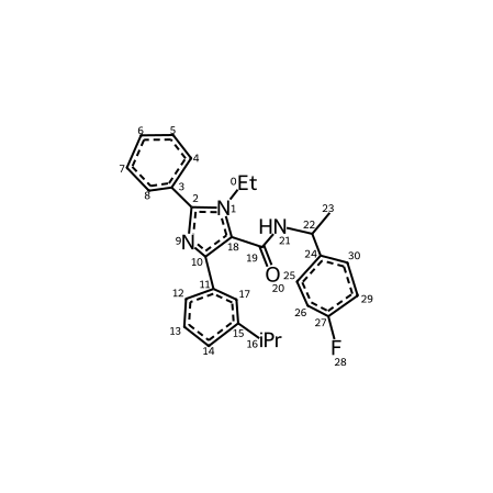 CCn1c(-c2ccccc2)nc(-c2cccc(C(C)C)c2)c1C(=O)NC(C)c1ccc(F)cc1